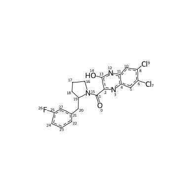 O=C(c1nc2cc(Cl)c(Cl)cc2nc1O)N1CCCC1Cc1cccc(F)c1